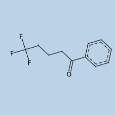 O=C(CC[CH]C(F)(F)F)c1ccccc1